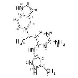 Cc1cc(Nc2nc(N)ncc2C(C)c2ccc3[nH]ccc3c2)n[nH]1